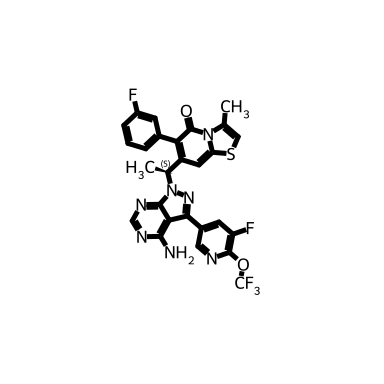 Cc1csc2cc([C@H](C)n3nc(-c4cnc(OC(F)(F)F)c(F)c4)c4c(N)ncnc43)c(-c3cccc(F)c3)c(=O)n12